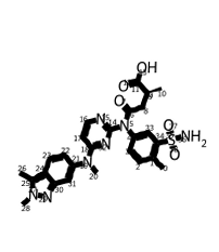 Cc1ccc(N(C(=O)C[C@H](C)C(=O)O)c2nccc(N(C)c3ccc4c(C)n(C)nc4c3)n2)cc1S(N)(=O)=O